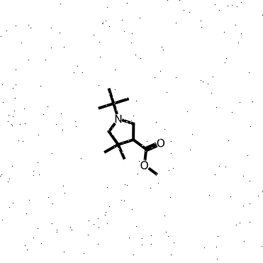 COC(=O)C1CN(C(C)(C)C)CC1(C)C